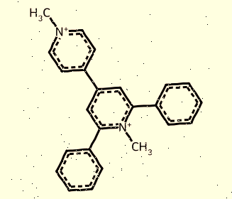 C[n+]1ccc(-c2cc(-c3ccccc3)[n+](C)c(-c3ccccc3)c2)cc1